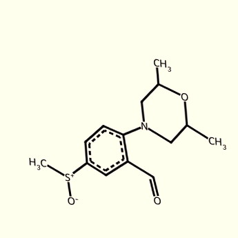 CC1CN(c2ccc([S+](C)[O-])cc2C=O)CC(C)O1